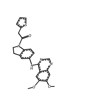 COc1cc2ncnc(Nc3ccc4c(c3)CCN4C(=O)Cc3cccs3)c2cc1OC